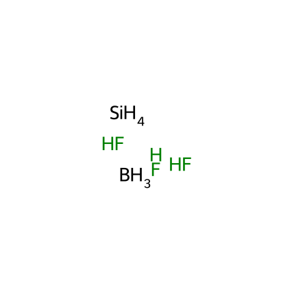 B.F.F.F.[SiH4]